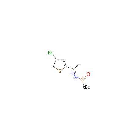 C/C(=N\[S+]([O-])C(C)(C)C)C1=CC(Br)CS1